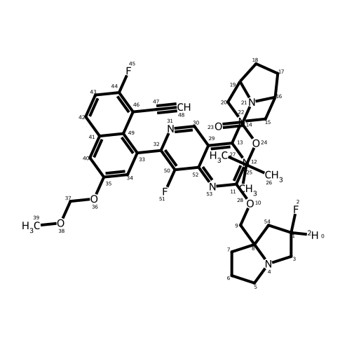 [2H]C1(F)CN2CCCC2(COc2nc(N3CC4CCC(C3)N4C(=O)OC(C)(C)C)c3cnc(-c4cc(OCOC)cc5ccc(F)c(C#C)c45)c(F)c3n2)C1